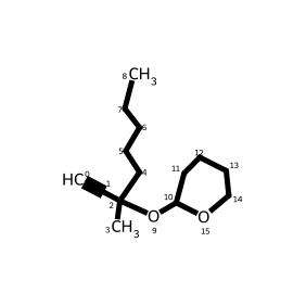 C#CC(C)(CCCCC)OC1CCCCO1